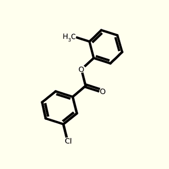 Cc1ccccc1OC(=O)c1cccc(Cl)c1